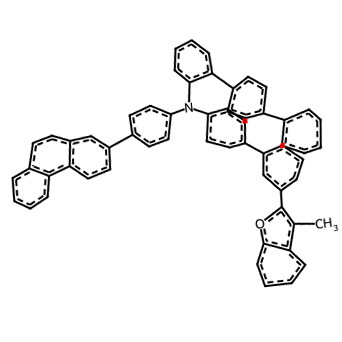 Cc1c(-c2cccc(-c3ccc(N(c4ccc(-c5ccc6c(ccc7ccccc76)c5)cc4)c4ccccc4-c4ccc(-c5ccccc5)cc4)cc3)c2)oc2ccccc12